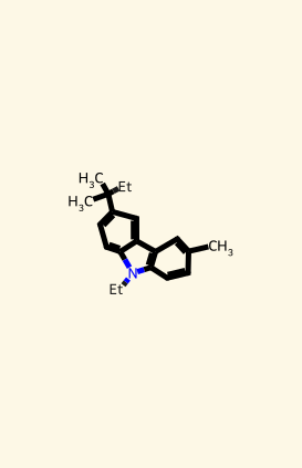 CCn1c2ccc(C)cc2c2cc(C(C)(C)CC)ccc21